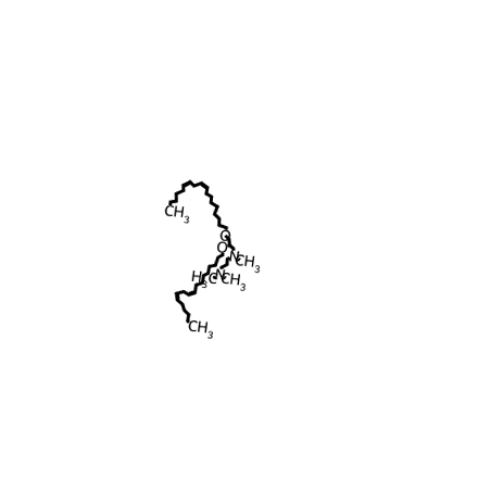 CCCCC/C=C\C/C=C\CCCCCCCCOCC(CN(C)CCCN(C)C)OCCCCCCCC/C=C\C/C=C\CCCCC